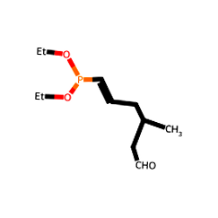 CCOP(/C=C/CC(C)CC=O)OCC